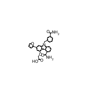 NC(=O)c1cccc(Cn2c3cc(-c4ccco4)cc(OCC(=O)O)c3c3c(C(N)=O)cccc32)c1